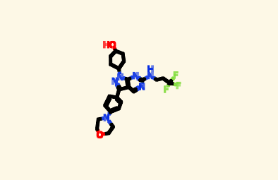 OC1CCC(n2nc(-c3ccc(N4CCOCC4)cc3)c3cnc(NCCC(F)(F)F)nc32)CC1